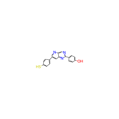 Oc1ccc(-c2ncc3ncc(-c4ccc(S)cc4)cc3n2)cc1